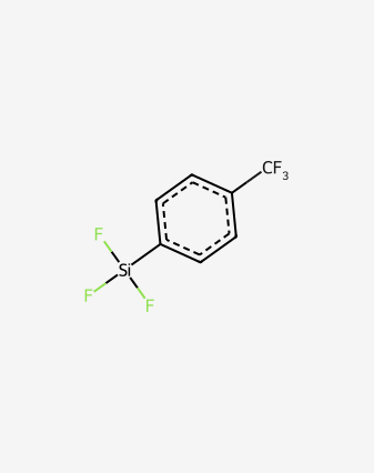 FC(F)(F)c1ccc([Si](F)(F)F)cc1